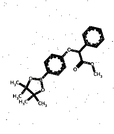 COC(=O)C(Oc1ccc(B2OC(C)(C)C(C)(C)O2)cc1)c1ccccc1